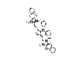 CCN1C(=C/C=C2\C=CC(/C=C/c3n(CC)c4nc5ccccc5nc4[n+]3CC)=C2N(c2ccccc2)c2ccccc2)N(CC)c2nc3ccccc3nc21